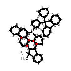 CC1(C)c2ccccc2-c2ccc(-c3cc4ccccc4cc3N(c3c#ccc(C4(c5ccccc5)c5ccccc5-c5ccccc54)c3)c3ccccc3C3=CC=CCC3)cc21